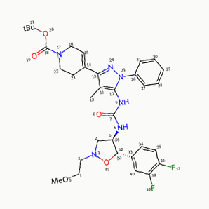 COCCN1C[C@@H](NC(=O)Nc2c(C)c(C3=CCN(C(=O)OC(C)(C)C)CC3)nn2-c2ccccc2)[C@H](c2ccc(F)c(F)c2)O1